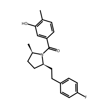 Cc1ccc(C(=O)N2[C@@H](CCc3ccc(F)cc3)CC[C@H]2C)cc1O